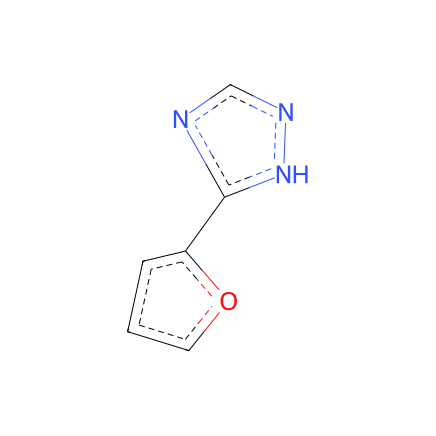 c1coc(-c2ncn[nH]2)c1